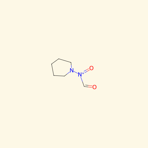 O=C[N+](=O)N1CCCCC1